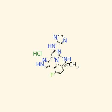 C[C@H](Nc1nc(Nc2cnccn2)cc(-c2cc[nH]n2)n1)c1ccc(F)cc1.Cl